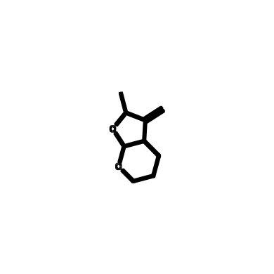 C=C1C(C)OC2OCCCC12